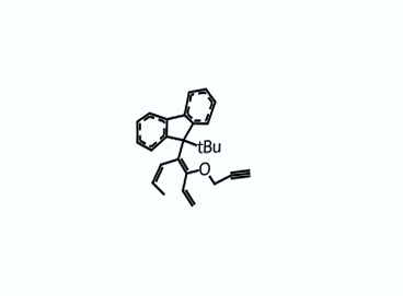 C#CCO/C(C=C)=C(/C=C\C)C1(C(C)(C)C)c2ccccc2-c2ccccc21